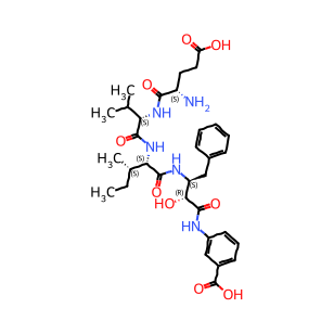 CC[C@H](C)[C@H](NC(=O)[C@@H](NC(=O)[C@@H](N)CCC(=O)O)C(C)C)C(=O)N[C@@H](Cc1ccccc1)[C@@H](O)C(=O)Nc1cccc(C(=O)O)c1